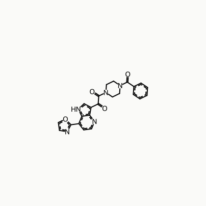 O=C(C(=O)N1CCN(C(=O)c2ccccc2)CC1)c1c[nH]c2c(-c3ncco3)ccnc12